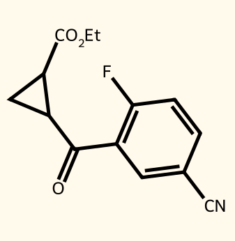 CCOC(=O)C1CC1C(=O)c1cc(C#N)ccc1F